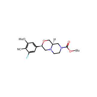 COc1cc([C@@H]2CN3CCN(C(=O)OC(C)(C)C)C[C@@H]3CO2)cc(F)c1C#N